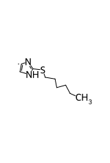 CCCCCCSc1n[c]c[nH]1